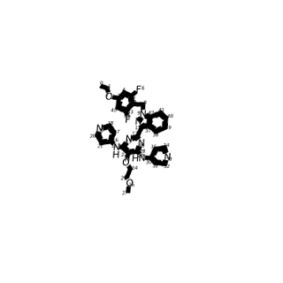 CCOc1cc(F)c(Cn2nc(-c3nc(Nc4ccncc4)c(OCCOC)c(Nc4ccncc4)n3)c3ccccc32)c(F)c1